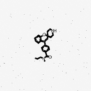 CCCN(C)C(=O)c1ccc(C2=CC3(CCNCC3)Oc3ccccc32)cc1